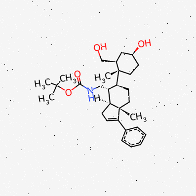 CC(C)(C)OC(=O)NC[C@@H]1[C@@H]([C@@]2(C)CC[C@H](O)C[C@@H]2CO)CC[C@]2(C)C(c3ccccc3)=CC[C@@H]12